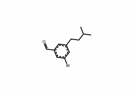 CC(C)CCc1cc(Br)cc(C=O)c1